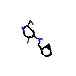 Cc1cc(NCc2ccccc2)c(F)cn1